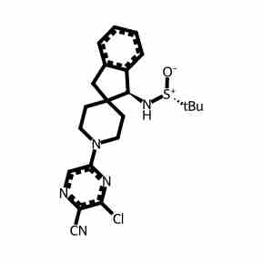 CC(C)(C)[S@@+]([O-])N[C@@H]1c2ccccc2CC12CCN(c1cnc(C#N)c(Cl)n1)CC2